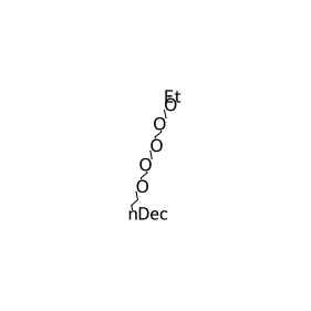 CCCCCCCCCCCCCOCCOCCOCCOCCOCC